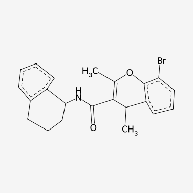 CC1=C(C(=O)NC2CCCc3ccccc32)C(C)c2cccc(Br)c2O1